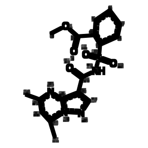 COC(=O)c1ccccc1S(=O)(=O)NC(=O)c1cnn2c(C)cc(C)nc12